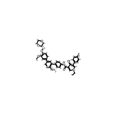 CCn1cc(C(=O)Nc2ccc(-c3cc(-c4ccc(OC[C@H]5COCCO5)c(OC)c4)cnc3N)cc2)c(=O)c(-c2ccc(F)cc2)c1